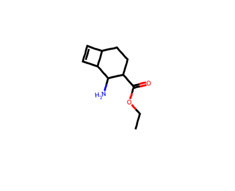 CCOC(=O)C1CCC2C=CC2C1N